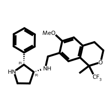 COc1cc2c(cc1CN[C@@H]1CCN[C@@H]1c1ccccc1)C(C)(C(F)(F)F)OCC2